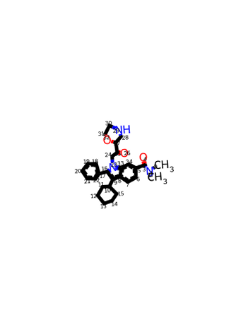 CN(C)C(=O)c1ccc2c(C3CCCCC3)c(-c3ccccc3)n(CC(=O)C3CNCCO3)c2c1